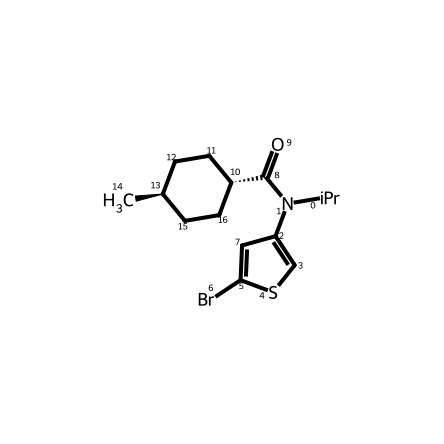 CC(C)N(c1csc(Br)c1)C(=O)[C@H]1CC[C@H](C)CC1